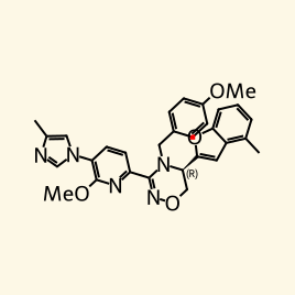 COc1ccc(CN2C(c3ccc(-n4cnc(C)c4)c(OC)n3)=NOC[C@@H]2c2cc3c(C)cccc3o2)cc1